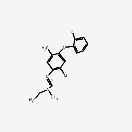 CCN(C)/C=N/c1cc(C)c(Oc2ccccc2F)cc1Cl